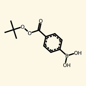 CC(C)(C)OOC(=O)c1ccc(B(O)O)cc1